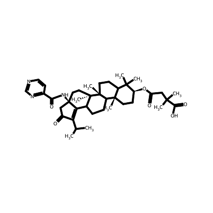 CC(C)C1=C2C3CCC4[C@@]5(C)CC[C@H](OC(=O)CC(C)(C)C(=O)O)C(C)(C)C5CC[C@@]4(C)[C@]3(C)CC[C@@]2(NC(=O)c2ccncn2)CC1=O